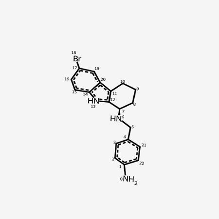 Nc1ccc(CN[C@@H]2CCCc3c2[nH]c2ccc(Br)cc32)cc1